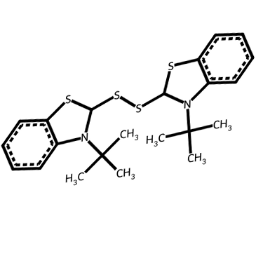 CC(C)(C)N1c2ccccc2SC1SSC1Sc2ccccc2N1C(C)(C)C